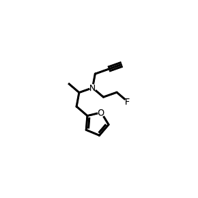 C#CCN(CCF)C(C)Cc1ccco1